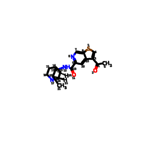 CC(=O)c1csc2cnc(C(=O)N[C@@H]3C4CCN(CC4)[C@H]3C)cc12